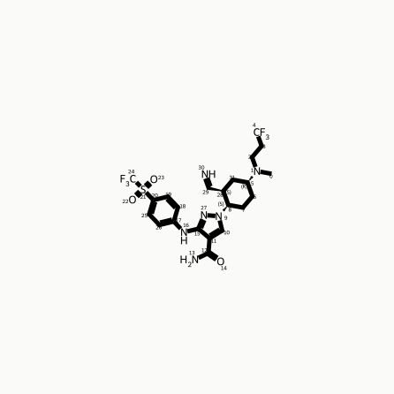 CN(CCC(F)(F)F)[C@@H]1CC[C@H](n2cc(C(N)=O)c(Nc3ccc(S(=O)(=O)C(F)(F)F)cc3)n2)[C@@H](C=N)C1